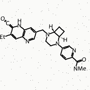 CCC1=Cc2ncc(CN3CCN(c4ccc(C(=O)NC)nc4)[C@@H]4CC[C@H]43)cc2NC1=C=O